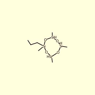 CCC[Si]1(C)O[SiH](C)O[SiH](C)O[SiH](C)O1